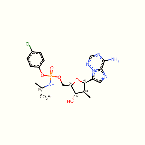 CCOC(=O)[C@H](C)NP(=O)(OC[C@H]1O[C@@H](c2cnc3c(N)ncnn23)[C@@H](C)[C@@H]1O)Oc1ccc(Cl)cc1